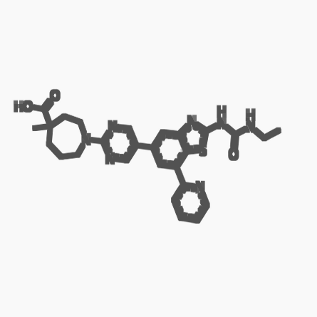 CCNC(=O)Nc1nc2cc(-c3cnc(N4CCCC(C)(C(=O)O)CC4)nc3)cc(-c3ccccn3)c2s1